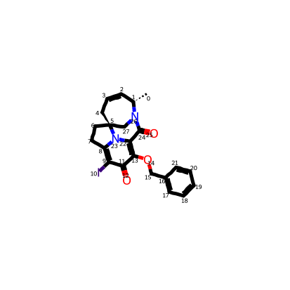 C[C@H]1C=CC[C@]23CCc4c(I)c(=O)c(OCc5ccccc5)c(n42)C(=O)N1C3